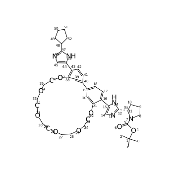 CC(C)(C)OC(=O)N1CCC[C@H]1c1ncc(-c2ccc3cc2OCCOCCOCCOCCOCCOc2cc-3ccc2-c2cnc(C3CCCC3)[nH]2)[nH]1